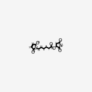 O=C1CC(OC(=O)CCCCCN2C(=O)C=CC2=O)C(=O)[N]1